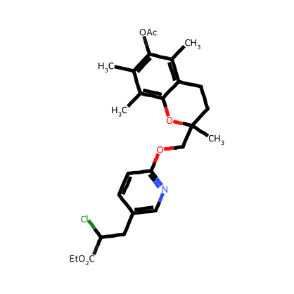 CCOC(=O)C(Cl)Cc1ccc(OCC2(C)CCc3c(C)c(OC(C)=O)c(C)c(C)c3O2)nc1